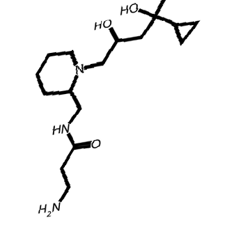 CC(O)(CC(O)CN1CCCCC1CNC(=O)CCN)C1CC1